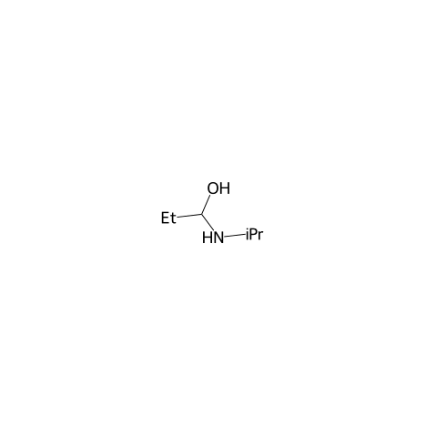 CCC(O)NC(C)C